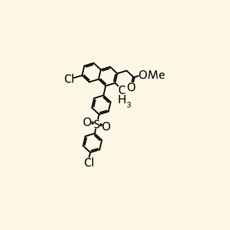 COC(=O)Cc1cc2ccc(Cl)cc2c(-c2ccc(S(=O)(=O)c3ccc(Cl)cc3)cc2)c1C